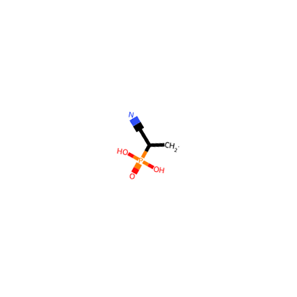 [CH2]C(C#N)P(=O)(O)O